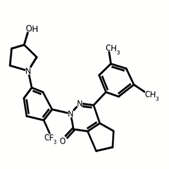 Cc1cc(C)cc(-c2nn(-c3cc(N4CCC(O)C4)ccc3C(F)(F)F)c(=O)c3c2CCC3)c1